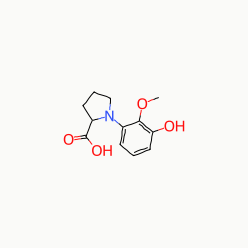 COc1c(O)cccc1N1CCCC1C(=O)O